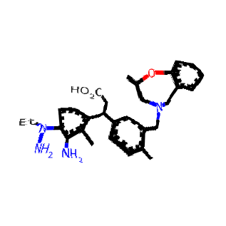 CCN(N)c1ccc(C(CC(=O)O)c2ccc(C)c(CN3Cc4ccccc4OC(C)C3)c2)c(C)c1N